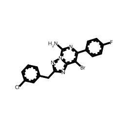 Nc1nc(-c2ccc(F)cc2)c(Br)c2nc(Cc3cccc(Cl)c3)nn12